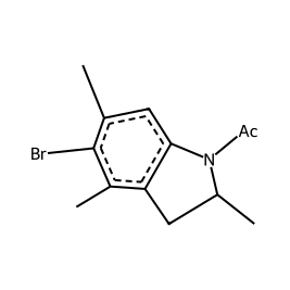 CC(=O)N1c2cc(C)c(Br)c(C)c2CC1C